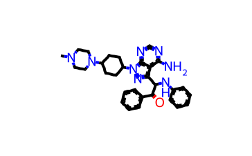 CN1CCN(C2CCC(n3nc(C(Nc4ccccc4)C(=O)c4ccccc4)c4c(N)ncnc43)CC2)CC1